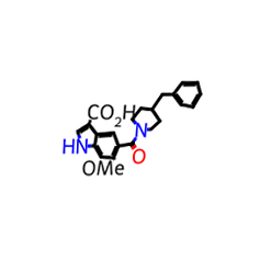 COc1cc2[nH]cc(C(=O)O)c2cc1C(=O)N1CCC(Cc2ccccc2)CC1